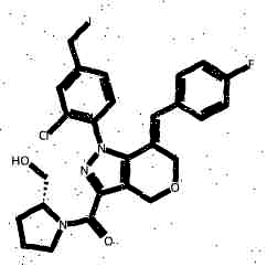 O=C(c1nn(-c2ccc(CI)cc2Cl)c2c1COC/C2=C\c1ccc(F)cc1)N1CCC[C@@H]1CO